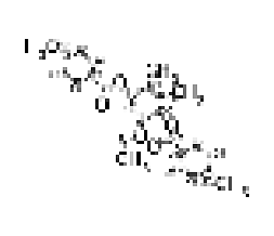 CCOc1cc(OC(=O)c2ccc(C)cc2)c(C)c(C)c1OC(=O)c1ccc(C)cc1